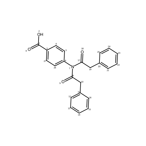 O=C(O)c1ccc(N(C(=O)Cc2ccccc2)C(=O)Cc2ccccc2)cc1